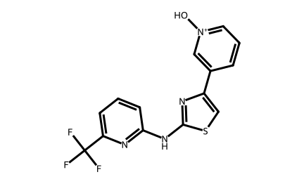 O[n+]1cccc(-c2csc(Nc3cccc(C(F)(F)F)n3)n2)c1